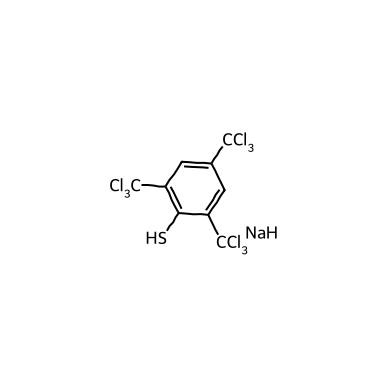 Sc1c(C(Cl)(Cl)Cl)cc(C(Cl)(Cl)Cl)cc1C(Cl)(Cl)Cl.[NaH]